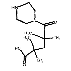 CC(C)(CC(C)(C)C(=O)N1CCNCC1)C(=O)O